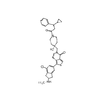 CNC1Cc2cc(-c3scc4c(=O)n(CC5(O)CCN(C(=O)CC(c6ccccc6)C6CC6)CC5)cnc34)cc(Cl)c2C1